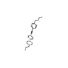 CCCCc1ccc(C#Cc2ccc([C@H]3CC[C@H](CCC)CC3)cc2)nc1